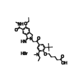 Br.CCOc1cc2c(cc1C(=O)NC)C(=N)N(CC(=O)c1cc(N(C)CC)c(OCCCCC(=O)O)c(C(C)(C)C)c1)C2